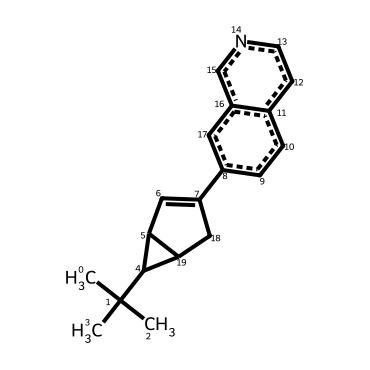 CC(C)(C)C1C2C=C(c3ccc4ccncc4c3)CC21